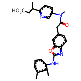 Cc1cccc(Nc2nc3ccc(CC(=O)N(C)c4ccc(C(C)CC(=O)O)nc4)cc3o2)c1C